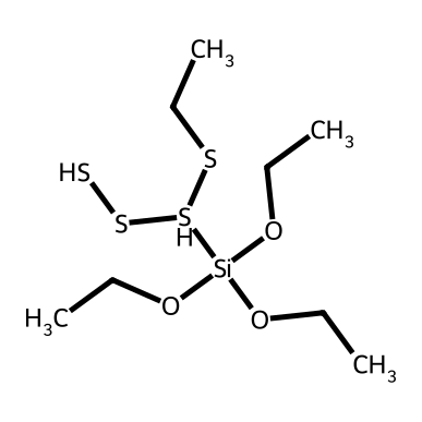 CCO[Si](OCC)(OCC)[SH](SS)SCC